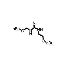 CCCCOCCNC(=N)NCOCCCC